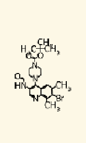 Cc1cc2c(N3CCN(C(=O)OC(C)(C)C)CC3)c(NC=O)cnc2c(C)c1Br